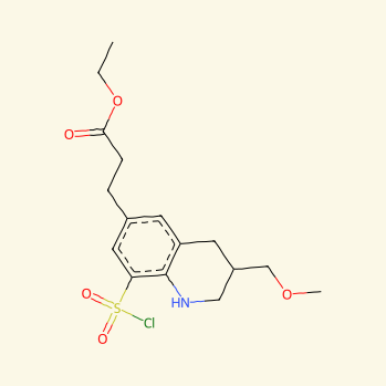 CCOC(=O)CCc1cc2c(c(S(=O)(=O)Cl)c1)NCC(COC)C2